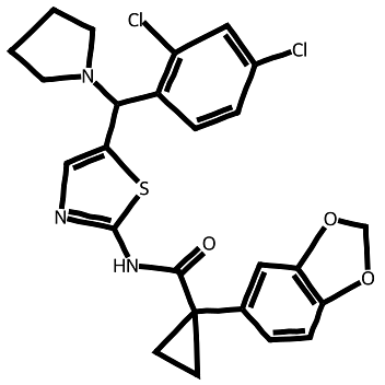 O=C(Nc1ncc(C(c2ccc(Cl)cc2Cl)N2CCCC2)s1)C1(c2ccc3c(c2)OCO3)CC1